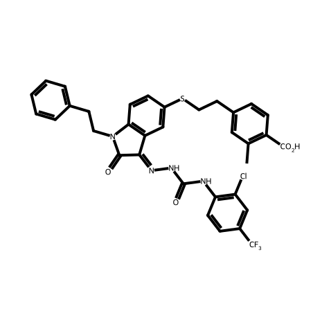 Cc1cc(CCSc2ccc3c(c2)/C(=N\NC(=O)Nc2ccc(C(F)(F)F)cc2Cl)C(=O)N3CCc2ccccc2)ccc1C(=O)O